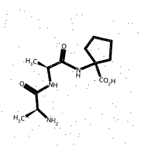 C[C@H](N)C(=O)N[C@@H](C)C(=O)NC1(C(=O)O)CCCC1